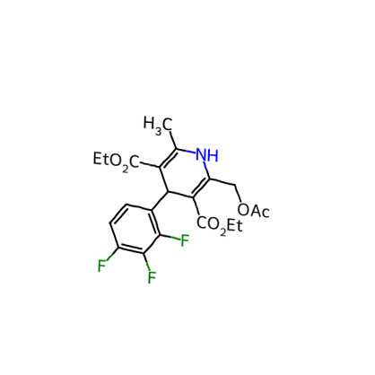 CCOC(=O)C1=C(C)NC(COC(C)=O)=C(C(=O)OCC)C1c1ccc(F)c(F)c1F